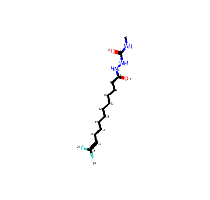 CNC(=O)NNC(=O)CCCCCCCCCC=C(F)F